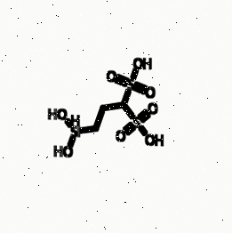 O=S(=O)(O)C(CC[SiH](O)O)S(=O)(=O)O